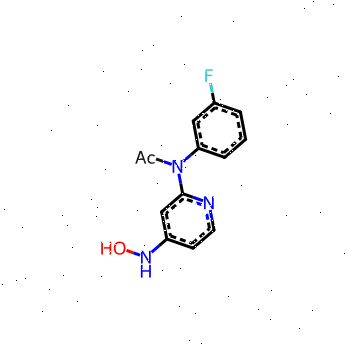 CC(=O)N(c1cccc(F)c1)c1cc(NO)ccn1